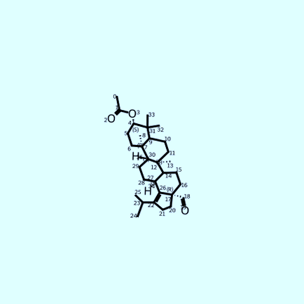 CC(=O)O[C@H]1CC[C@@]2(C)C(CC[C@@]3(C)C4CC[C@@]5(C=O)CCC(C(C)C)=C5[C@H]4CC[C@@H]32)C1(C)C